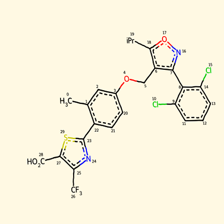 Cc1cc(OCc2c(-c3c(Cl)cccc3Cl)noc2C(C)C)ccc1-c1nc(C(F)(F)F)c(C(=O)O)s1